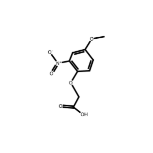 COc1ccc(OCC(=O)O)c([N+](=O)[O-])c1